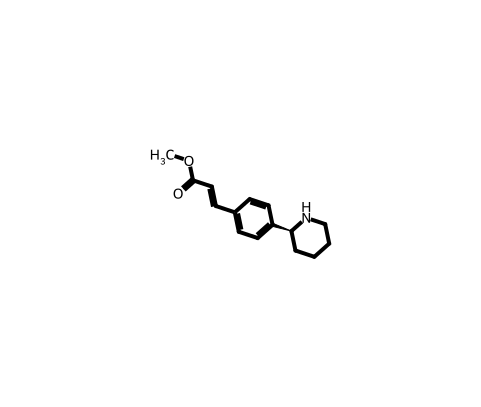 COC(=O)/C=C/c1ccc([C@@H]2CCCCN2)cc1